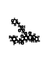 O=C(NCCN1CCOCC1)OCOc1c2n(cc(C(=O)NCc3ccc(F)cc3F)c1=O)C[C@@H]1N(CC3CCCN31)C2=O